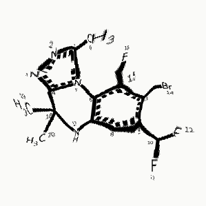 Cc1nnc2n1-c1c(cc(C(F)F)c(Br)c1F)NC2(C)C